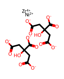 O=C([O-])CC(O)(CC(=O)[O-])C(=O)[O-].O=C([O-])CC(O)(CC(=O)[O-])C(=O)[O-].[Ni+2].[Zr+4]